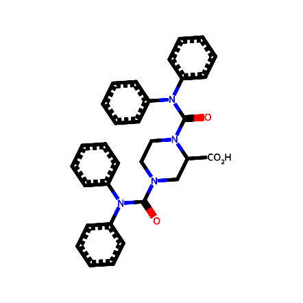 O=C(O)C1CN(C(=O)N(c2ccccc2)c2ccccc2)CCN1C(=O)N(c1ccccc1)c1ccccc1